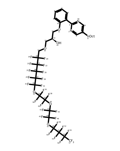 CCCCCCCCc1cnc(-c2ccccc2OC[C@@H](O)COCC(F)(F)C(F)(F)C(F)(F)C(F)(F)C(F)(F)OC(F)(F)C(F)(F)OC(F)(F)C(F)(F)OC(F)(F)C(F)(F)C(F)(F)C(F)(F)F)nc1